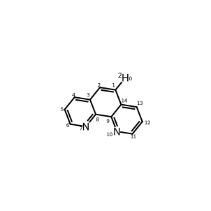 [2H]c1cc2cccnc2c2ncccc12